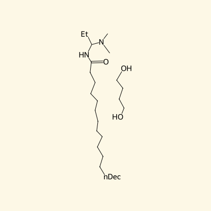 CCCCCCCCCCCCCCCCCCCCCC(=O)NC(CC)N(C)C.OCCCCO